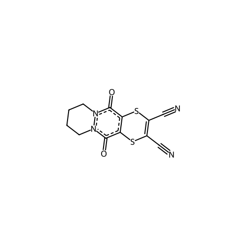 N#CC1=C(C#N)Sc2c(c(=O)n3n(c2=O)CCCC3)S1